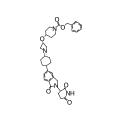 O=C1CCC(N2Cc3cc(C4CCC(N5CC(OC6CCN(C(=O)OCc7ccccc7)CC6)C5)CC4)ccc3C2=O)C(=O)N1